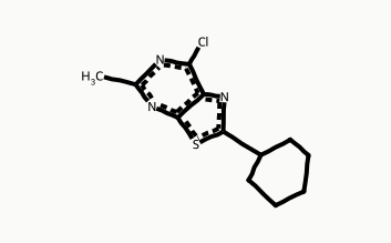 Cc1nc(Cl)c2nc(C3CCCCC3)sc2n1